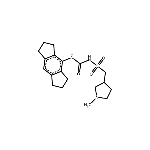 CN1CCC(CS(=O)(=O)NC(=O)Nc2c3c(cc4c2CCC4)CCC3)C1